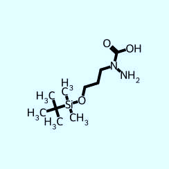 CC(C)(C)[Si](C)(C)OCCCN(N)C(=O)O